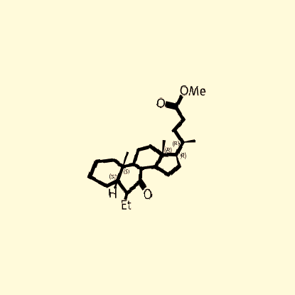 CCC1C(=O)C2C3CC[C@H]([C@H](C)CCC(=O)OC)[C@@]3(C)CCC2[C@@]2(C)CCCC[C@@H]12